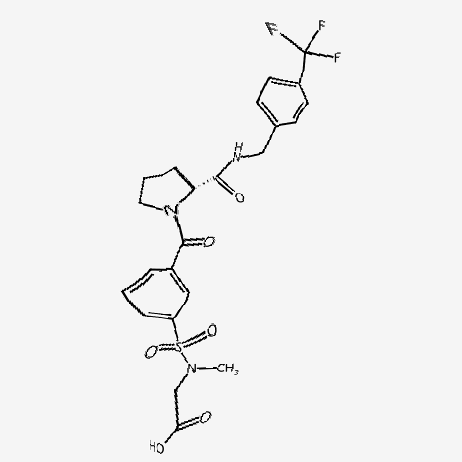 CN(CC(=O)O)S(=O)(=O)c1cccc(C(=O)N2CCC[C@@H]2C(=O)NCc2ccc(C(F)(F)F)cc2)c1